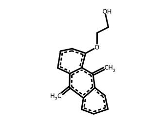 C=c1c2ccccc2c(=C)c2c(OCCO)cccc12